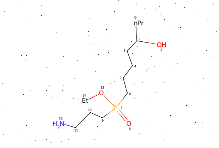 CCCC(O)CCCCP(=O)(CCCN)OCC